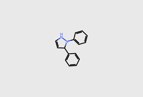 C1=CC(c2ccccc2)N(c2ccccc2)N1